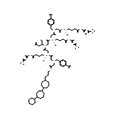 CCC([C@H](C)C(=O)O)N(CC(=O)N(CC(=O)N(CC(=O)NN(CCCC(=O)Nc1nnc(S(N)(=O)=O)s1)N=N)[C@H](C)c1ccc(C(=O)O)cc1)N(CCCC(=O)Nc1nnc(S(N)(=O)=O)s1)N=N)C(=O)CN(C(=O)CN(CC(=O)NCCCC1CCCC(C2CCCC(C3CCCCC3)CC2)CC1)[C@H](C)c1ccc(C(=O)O)cc1)N(CCCC(=O)Nc1nnc(S(N)(=O)=O)s1)N=N